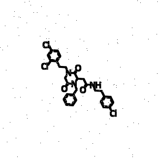 O=C(CC1C(=O)N(CCc2ccc(Cl)cc2Cl)CC(=O)N1Cc1ccccc1)NCCc1ccc(Cl)cc1